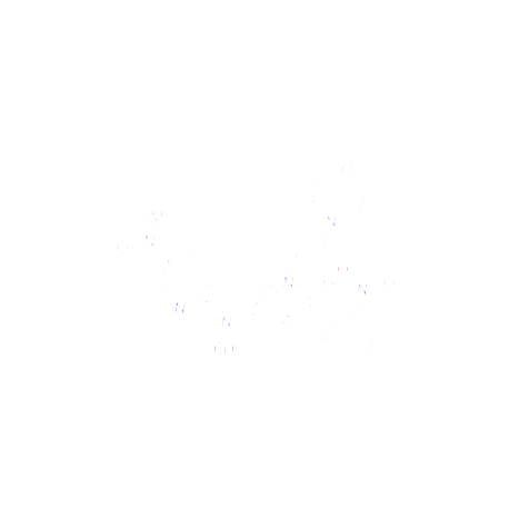 CN(CCN(CCN1CCOCC1)S(=O)(=O)c1ccccc1[N+](=O)[O-])c1ccc([N+](=O)[O-])cn1